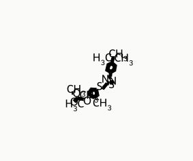 CCOC(=O)C(C)(C)Oc1ccc(SCc2nc(-c3ccc(C(C)(C)C)cc3)ns2)cc1C